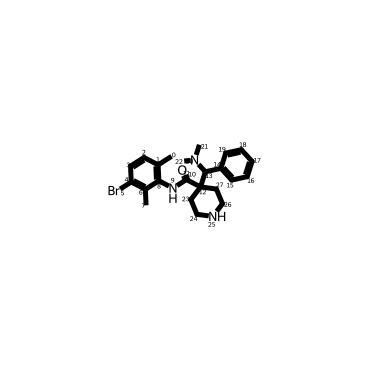 Cc1ccc(Br)c(C)c1NC(=O)C1(C(c2ccccc2)N(C)C)CCNCC1